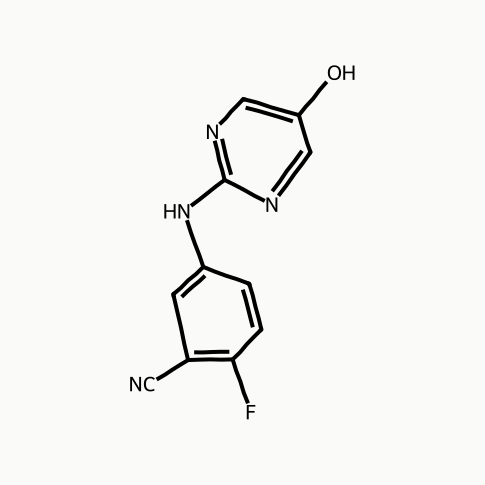 N#Cc1cc(Nc2ncc(O)cn2)ccc1F